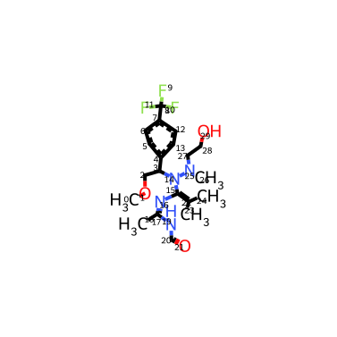 COCC(c1ccc(C(F)(F)F)cc1)N(C(/N=C(/C)NC=O)=C(C)C)N(C)CCO